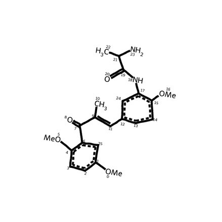 COc1ccc(OC)c(C(=O)C(C)=Cc2ccc(OC)c(NC(=O)C(C)N)c2)c1